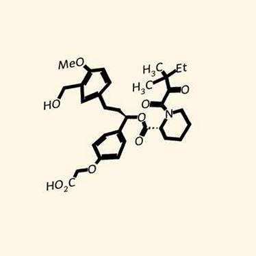 CCC(C)(C)C(=O)C(=O)N1CCCC[C@@H]1C(=O)O[C@H](CCc1ccc(OC)c(CO)c1)c1ccc(OCC(=O)O)cc1